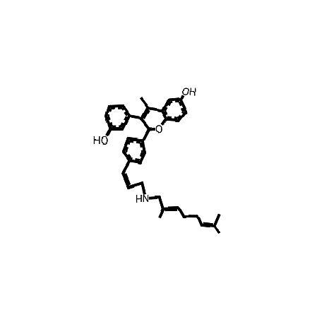 CC(C)=CCC/C=C(\C)CNC/C=C\c1ccc(C2Oc3ccc(O)cc3C(C)=C2c2cccc(O)c2)cc1